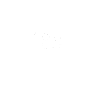 CCC(=O)Oc1ccc(C[C@](NC(C)C)(OC(=O)OC2CCCCC2)C(=O)O)cc1OC(=O)CC